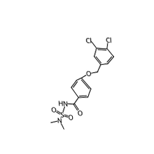 CN(C)S(=O)(=O)NC(=O)c1ccc(OCc2ccc(Cl)c(Cl)c2)cc1